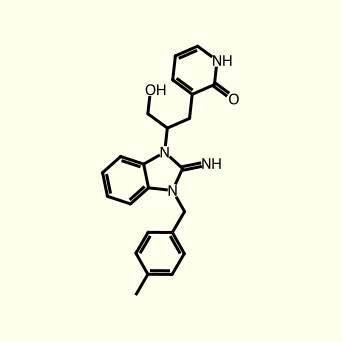 Cc1ccc(Cn2c(=N)n(C(CO)Cc3ccc[nH]c3=O)c3ccccc32)cc1